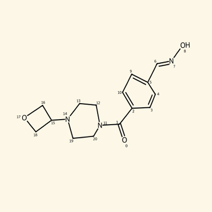 O=C(c1ccc(/C=N/O)cc1)N1CCN(C2COC2)CC1